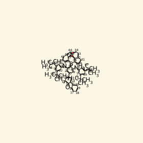 CC(C)(C)c1cc(N2c3cc(-c4ccc5oc6ccccc6c5c4)cc4c3B(c3c2ccc2ccccc32)c2c(ccc3ccccc23)N4c2cc(C(C)(C)C)cc(C(C)(C)C)c2)cc(C(C)(C)C)c1